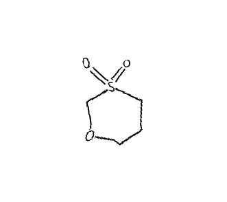 O=S1(=O)CCCOC1